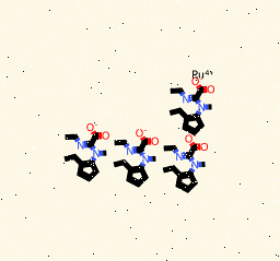 CCN=C(C(=O)[O-])N(C)C1=C(CC)C=CC1.CCN=C(C(=O)[O-])N(C)C1=C(CC)C=CC1.CCN=C(C(=O)[O-])N(C)C1=C(CC)C=CC1.CCN=C(C(=O)[O-])N(C)C1=C(CC)C=CC1.[Ru+4]